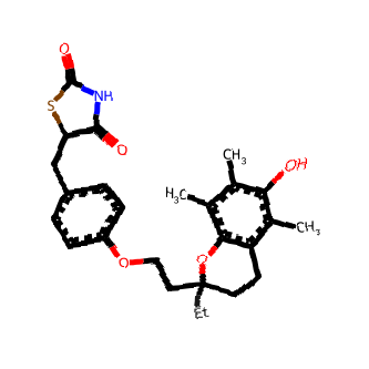 CCC1(CCOc2ccc(CC3SC(=O)NC3=O)cc2)CCc2c(C)c(O)c(C)c(C)c2O1